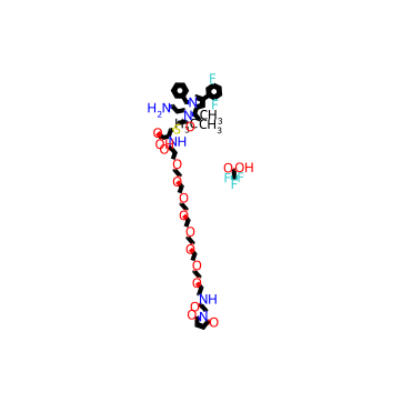 CC(C)(C)C(c1cc(-c2cc(F)ccc2F)cn1Cc1ccccc1)N(CCCN)C(=O)CSCC(NC(=O)CCOCCOCCOCCOCCOCCOCCOCCOCCNC(=O)CN1C(=O)C=CC1=O)C(=O)O.O=C(O)C(F)(F)F